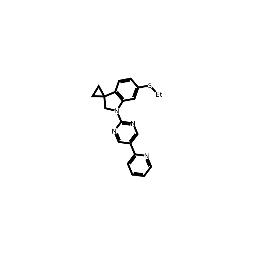 CCSc1ccc2c(c1)N(c1ncc(-c3ccccn3)cn1)CC21CC1